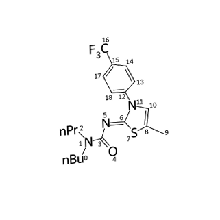 CCCCN(CCC)C(=O)/N=c1\sc(C)cn1-c1ccc(C(F)(F)F)cc1